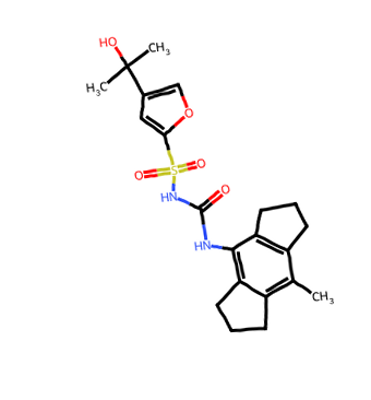 Cc1c2c(c(NC(=O)NS(=O)(=O)c3cc(C(C)(C)O)co3)c3c1CCC3)CCC2